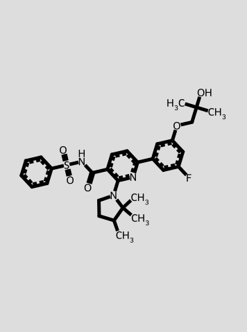 CC1CCN(c2nc(-c3cc(F)cc(OCC(C)(C)O)c3)ccc2C(=O)NS(=O)(=O)c2ccccc2)C1(C)C